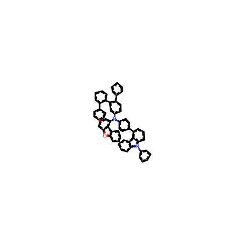 c1ccc(-c2ccccc2-c2cc(N(c3ccc(-c4cccc5c4c4ccccc4n5-c4ccccc4)cc3)c3cccc4oc5ccccc5c34)ccc2-c2ccccc2)cc1